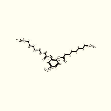 CCCCCCCCCCCCCCCCCC(=O)Oc1ccc([N+](=O)[O-])cc1OC(=O)CCCCCCCCCCCCCCCCC